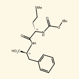 CSCC[C@H](NC(=O)OC(C)(C)C)C(=O)N[C@@H](Cc1ccccc1)C(=O)O